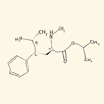 CN[C@H](C[C@H](c1ccccc1)[C@@H](C)N)C(=O)OC(C)C